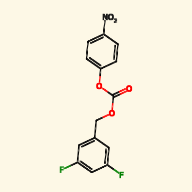 O=C(OCc1cc(F)cc(F)c1)Oc1ccc([N+](=O)[O-])cc1